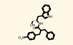 O=C(N[C@H](CO)Cc1c[nH]c2ccccc12)C(Cc1ccccc1)Cc1ccc([N+](=O)[O-])cc1